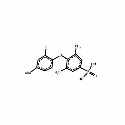 CCCCc1ccc(Oc2c(C)cc(P(=O)(O)O)cc2C)c(F)c1